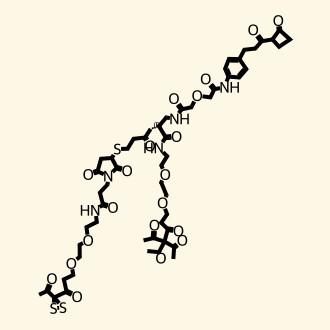 CC(=O)C1(C(=O)CCOCCOCCNC(=O)CCN2C(=O)CC(SCCC(=O)C[C@H](CNC(=O)COCC(=O)Nc3ccc(CCC(=O)C4CCC4=O)cc3)C(=O)NCCOCCOCCC(=O)C(C(C)=O)(C(C)=O)C(C)=O)C2=O)SS1